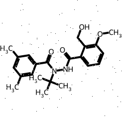 COc1cccc(C(=O)NN(C(=O)c2cc(C)cc(C)c2)C(C)(C)C)c1CO